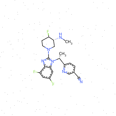 CN[C@@H]1CN(c2nc3c(F)cc(F)cc3n2[C@H](C)c2ccc(C#N)cn2)CC[C@H]1F